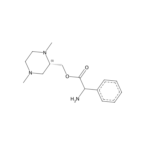 CN1CCN(C)[C@H](COC(=O)C(N)c2ccccc2)C1